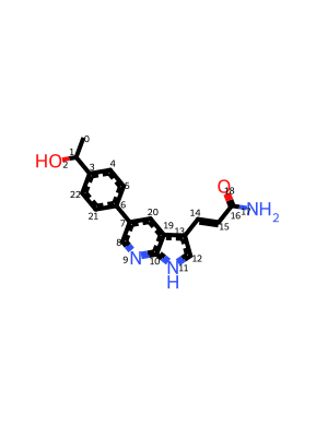 CC(O)c1ccc(-c2cnc3[nH]cc(C=CC(N)=O)c3c2)cc1